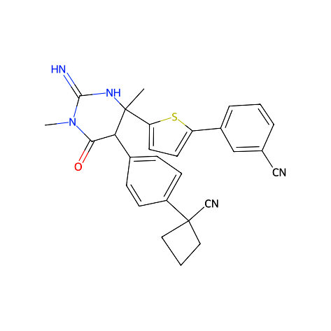 CN1C(=N)NC(C)(c2ccc(-c3cccc(C#N)c3)s2)C(c2ccc(C3(C#N)CCC3)cc2)C1=O